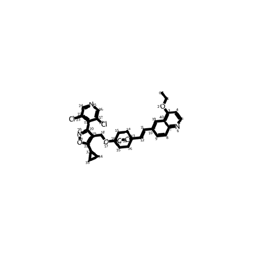 CCOc1ccnc2ccc(/C=C/C34CCC(OCc5c(-c6c(Cl)cncc6Cl)noc5C5CC5)(CC3)CC4)cc12